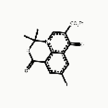 CCOC(=O)c1cn2c3c(cc(I)cc3c1=O)C(=O)OC2(C)C